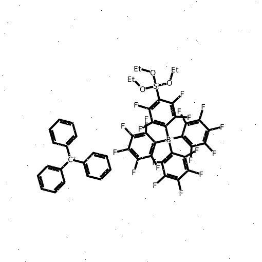 CCO[Si](OCC)(OCC)c1c(F)c(F)c([B-](c2c(F)c(F)c(F)c(F)c2F)(c2c(F)c(F)c(F)c(F)c2F)c2c(F)c(F)c(F)c(F)c2F)c(F)c1F.c1ccc([C+](c2ccccc2)c2ccccc2)cc1